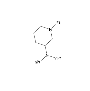 CCCN(CCC)C1CCCN(CC)C1